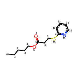 CCCCCOC(=O)CCSc1ccccn1